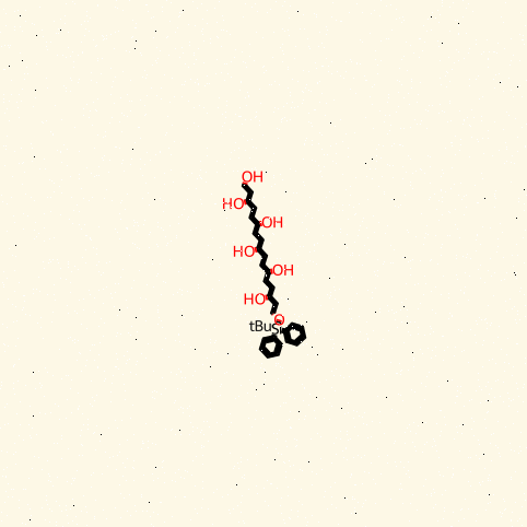 CC(C)(C)[Si](OCCC(O)CCC(O)CCC(O)CCC(O)CCC(O)CCO)(c1ccccc1)c1ccccc1